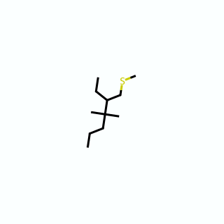 CCCC(C)(C)C(CC)CSC